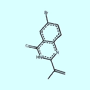 C=C(C)c1nc2ccc(Br)cc2c(=O)[nH]1